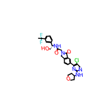 CC(F)(F)c1cccc([C@@H](CO)NC(=O)CN2Cc3ccc(-c4nc(NC5CCOCC5)ncc4Cl)cc3C2=O)c1